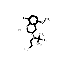 CCCN([C@H]1COc2c(F)ccc(OC)c2C1)C(C)(C)C.Cl